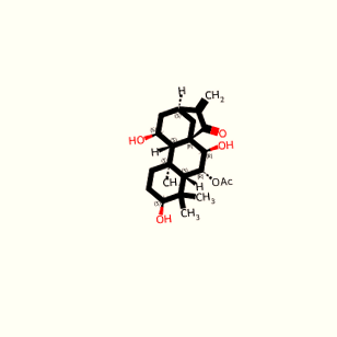 C=C1C(=O)[C@]23C[C@H]1C[C@H](O)[C@H]2[C@]1(C)CC[C@H](O)C(C)(C)[C@H]1[C@@H](OC(C)=O)[C@@H]3O